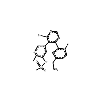 CCc1ncnc(-c2cc(CN)ccc2F)c1-c1cnc(C)c(NS(C)(=O)=O)c1